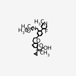 COC1(C)CN(Cc2cc(C3CCc4ccc([C@H](C5CC5)[C@H](C)C(=O)O)cc4O3)ccc2-c2cc(C)ncc2F)C1